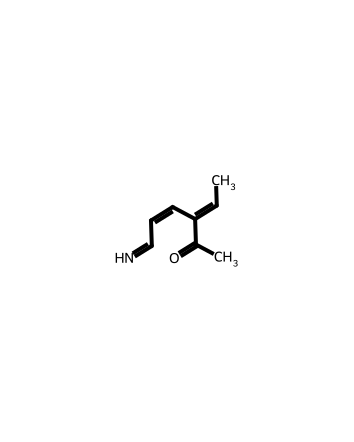 C/C=C(\C=C/C=N)C(C)=O